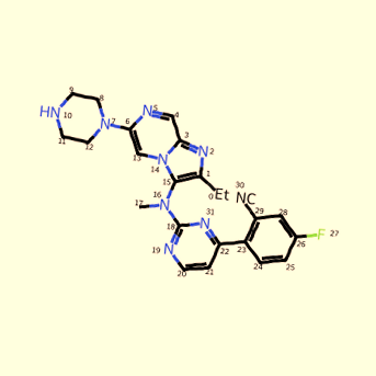 CCc1nc2cnc(N3CCNCC3)cn2c1N(C)c1nccc(-c2ccc(F)cc2C#N)n1